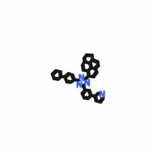 c1ccc(-c2ccc(-c3nc(-c4cccc(-c5cccnc5)c4)nc(-c4ccc5ccc6cccc7ccc4c5c67)n3)cc2)cc1